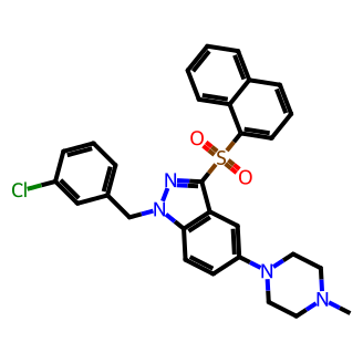 CN1CCN(c2ccc3c(c2)c(S(=O)(=O)c2cccc4ccccc24)nn3Cc2cccc(Cl)c2)CC1